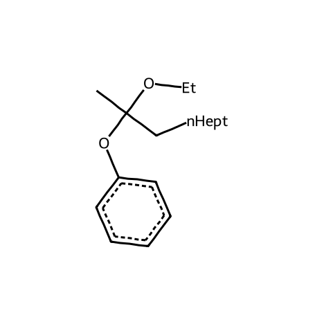 CCCCCCCCC(C)(OCC)Oc1ccccc1